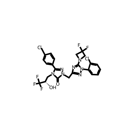 O=c1n(Cc2nc(N3CC(F)(F)C3)n(-c3ccccc3Cl)n2)nc(-c2ccc(Cl)cc2)n1C[C@H](O)C(F)(F)F